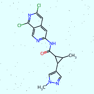 CC1C(C(=O)Nc2cc3cc(Cl)nc(Cl)c3cn2)C1c1cnn(C)c1